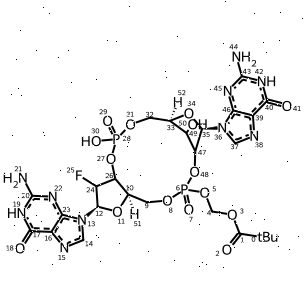 CC(C)(C)C(=O)OCOP1(=O)OC[C@H]2O[C@@H](n3cnc4c(=O)[nH]c(N)nc43)C(F)C2OP(=O)(O)OC[C@H]2O[C@@H](n3cnc4c(=O)[nH]c(N)nc43)C(O1)C2O